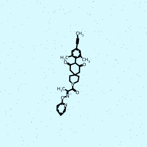 CC#Cc1cc(C)c(C2C(=O)CC3(CCN(C(=O)/C(C)=N/Oc4ccccn4)CC3)CC2=O)c(C)c1